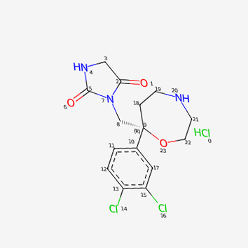 Cl.O=C1CNC(=O)N1C[C@]1(c2ccc(Cl)c(Cl)c2)CCNCCO1